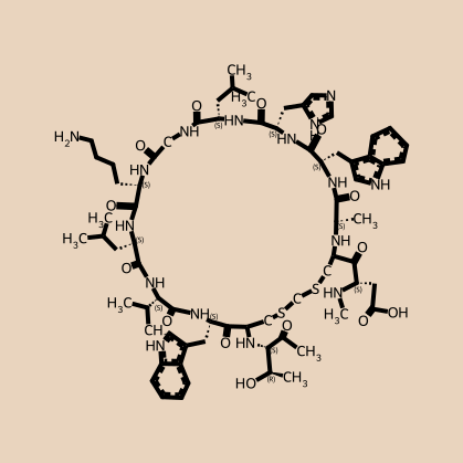 CN[C@@H](CC(=O)O)C(=O)C1CSCSCC(N[C@H](C(C)=O)[C@@H](C)O)C(=O)[C@H](Cc2c[nH]c3ccccc23)NC(=O)[C@H](C(C)C)NC(=O)[C@H](CC(C)C)NC(=O)[C@H](CCCCN)NC(=O)CNC(=O)[C@H](CC(C)C)NC(=O)[C@H](Cc2cnc[nH]2)NC(=O)[C@H](Cc2c[nH]c3ccccc23)NC(=O)[C@H](C)N1